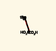 CC(C)(C)OC(=O)CCCCCCCCCCCCCCCCCCCC(C(=O)O)C(=O)O